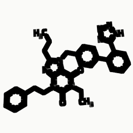 CCCc1nc2c(c(=O)n(CC)c(=O)n2CCc2ccccc2)n1Cc1ccc(-c2ccccc2-c2nnn[nH]2)cc1